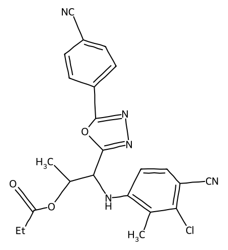 CCC(=O)OC(C)C(Nc1ccc(C#N)c(Cl)c1C)c1nnc(-c2ccc(C#N)cc2)o1